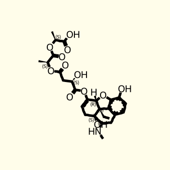 CC[C@]12c3c4ccc(O)c3O[C@H]1C(OC(=O)[C@@H](O)CC(=O)O[C@@H](C)C(=O)O[C@@H](C)C(=O)O)=CC[C@@]2(O)[C@H](NC)C4